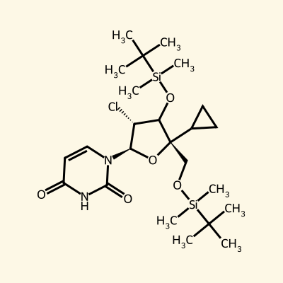 CC(C)(C)[Si](C)(C)OC[C@@]1(C2CC2)O[C@@H](n2ccc(=O)[nH]c2=O)[C@H](Cl)C1O[Si](C)(C)C(C)(C)C